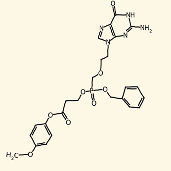 COc1ccc(OC(=O)CCOP(=O)(COCCn2cnc3c(=O)[nH]c(N)nc32)OCc2ccccc2)cc1